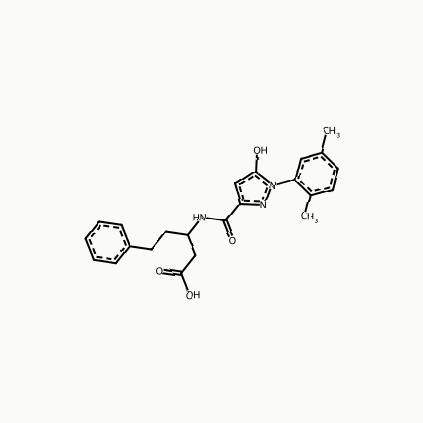 Cc1ccc(C)c(-n2nc(C(=O)NC(CCc3ccccc3)CC(=O)O)cc2O)c1